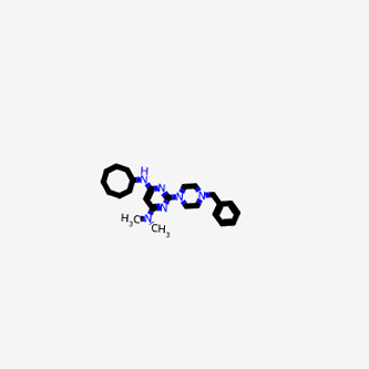 CN(C)c1cc(NC2CCCCCCC2)nc(N2CCN(Cc3ccccc3)CC2)n1